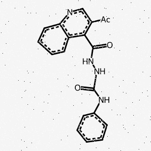 CC(=O)c1cnc2ccccc2c1C(=O)NNC(=O)Nc1ccccc1